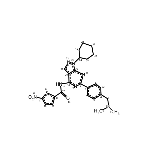 CN(C)Cc1ccc(-c2nc(NC(=O)c3ccc([N+](=O)[O-])s3)c3cnn(C4CCCCC4)c3n2)cc1